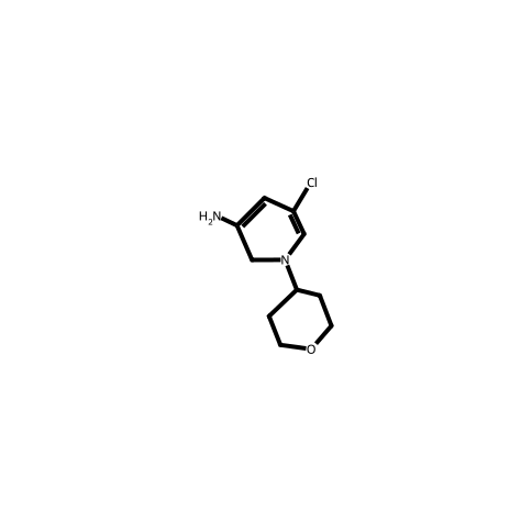 NC1=CC(Cl)=CN(C2CCOCC2)C1